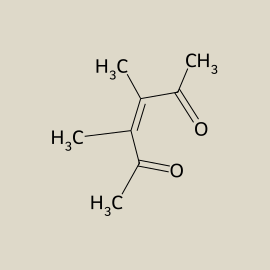 CC(=O)/C(C)=C(/C)C(C)=O